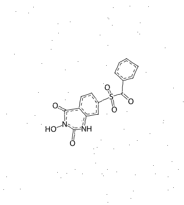 O=C(c1ccccc1)S(=O)(=O)c1ccc2c(=O)n(O)c(=O)[nH]c2c1